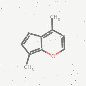 Cc1ccoc2c(C)ccc1-2